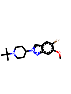 COc1cc2nn(C3CCN(C(C)(C)C)CC3)cc2cc1Br